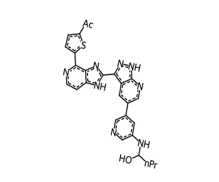 CCCC(O)Nc1cncc(-c2cnc3[nH]nc(-c4nc5c(-c6ccc(C(C)=O)s6)nccc5[nH]4)c3c2)c1